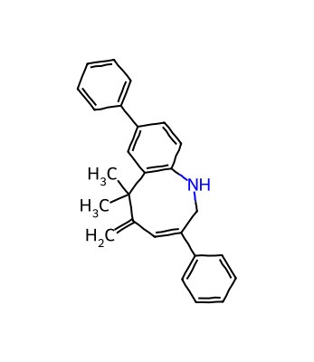 C=C1/C=C(/c2ccccc2)CNc2ccc(-c3ccccc3)cc2C1(C)C